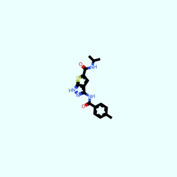 Cc1ccc(C(=O)Nc2n[nH]c3sc(C(=O)NC(C)C)cc23)cc1